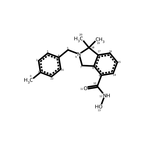 Cc1ccc(CN2Cc3c(C(=O)NO)cccc3C2(C)C)cc1